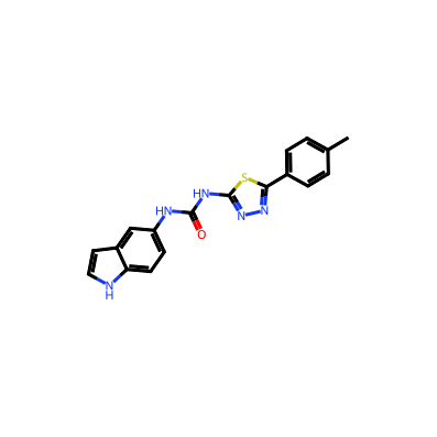 Cc1ccc(-c2nnc(NC(=O)Nc3ccc4[nH]ccc4c3)s2)cc1